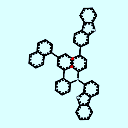 c1cc(-c2ccccc2N(c2ccc(-c3ccc4c(c3)sc3ccccc34)cc2)c2cccc3c2oc2ccccc23)cc(-c2cccc3ccccc23)c1